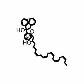 CC/C=C\C/C=C\C/C=C\C/C=C\C/C=C\CCC[C@@H](O)CC(=O)O[C@@H](c1ccccc1)C(O)(c1ccccc1)c1ccccc1